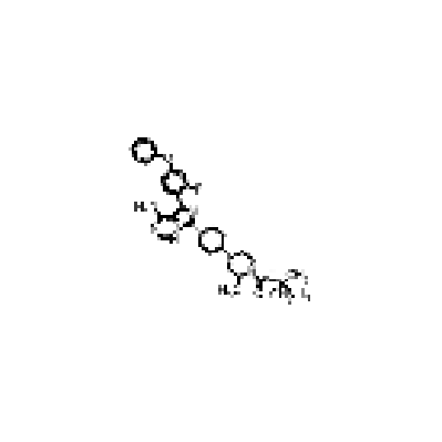 CC1CN([C@H]2CC[C@@H](c3nc(-c4ccc(Oc5ccccc5)cc4F)c4c(N)ncnn43)CC2)CCN1C(=O)OC(C)(C)C